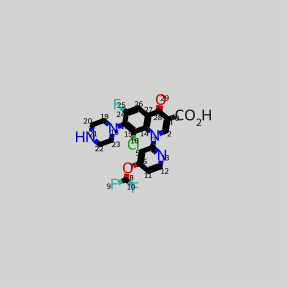 O=C(O)c1cn(-c2cc(OC(F)F)ccn2)c2c(Cl)c(N3CCNCC3)c(F)cc2c1=O